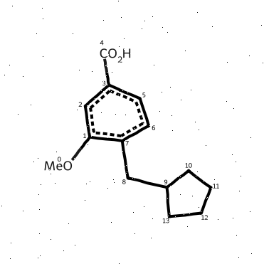 COc1cc(C(=O)O)ccc1CC1CCCC1